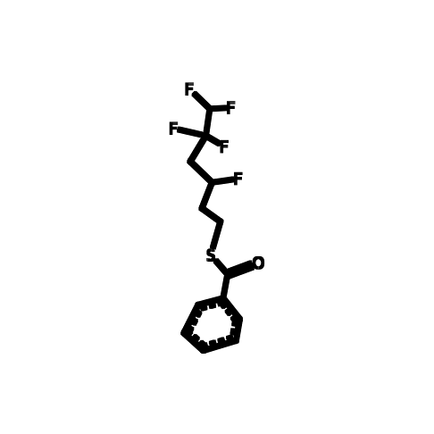 O=C(SCCC(F)CC(F)(F)C(F)F)c1ccccc1